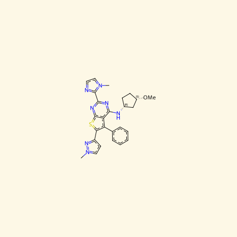 CO[C@H]1CC[C@@H](Nc2nc(-c3nccn3C)nc3sc(-c4ccn(C)n4)c(-c4ccccc4)c23)C1